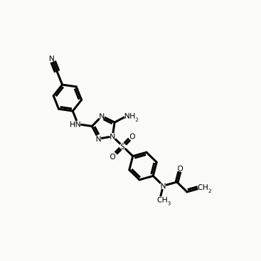 C=CC(=O)N(C)c1ccc(S(=O)(=O)n2nc(Nc3ccc(C#N)cc3)nc2N)cc1